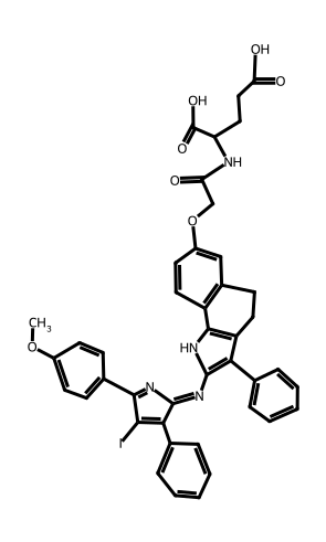 COc1ccc(C2=N/C(=N\c3[nH]c4c(c3-c3ccccc3)CCc3cc(OCC(=O)NC(CCC(=O)O)C(=O)O)ccc3-4)C(c3ccccc3)=C2I)cc1